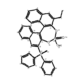 CCc1cc2ccccc2c2c1OP(=O)(O)Oc1c(S(C)(c3ccccc3)c3ccccc3)cc3ccccc3c1-2